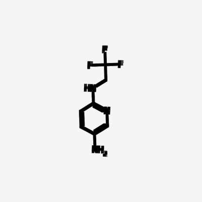 Nc1ccc(NCC(F)(F)F)nc1